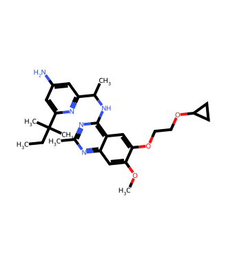 CCC(C)(C)c1cc(N)cc(C(C)Nc2nc(C)nc3cc(OC)c(OCCOC4CC4)cc23)n1